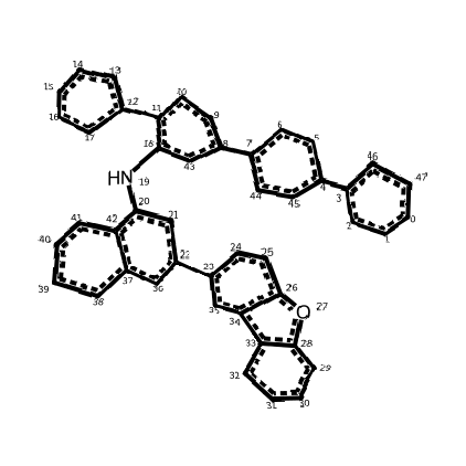 c1ccc(-c2ccc(-c3ccc(-c4ccccc4)c(Nc4cc(-c5ccc6oc7ccccc7c6c5)cc5ccccc45)c3)cc2)cc1